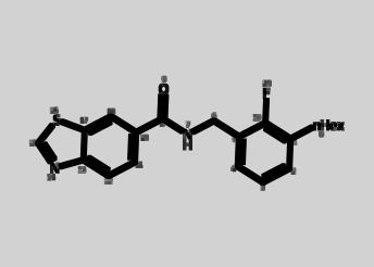 CCCCCCc1cccc(CNC(=O)c2ccc3ncsc3c2)c1F